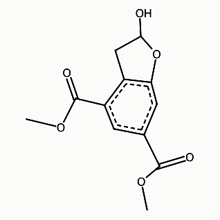 COC(=O)c1cc2c(c(C(=O)OC)c1)CC(O)O2